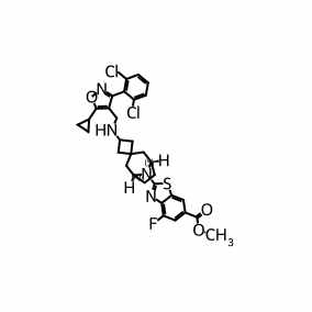 COC(=O)c1cc(F)c2nc(N3[C@@H]4CC[C@H]3CC3(CC(NCc5c(-c6c(Cl)cccc6Cl)noc5C5CC5)C3)C4)sc2c1